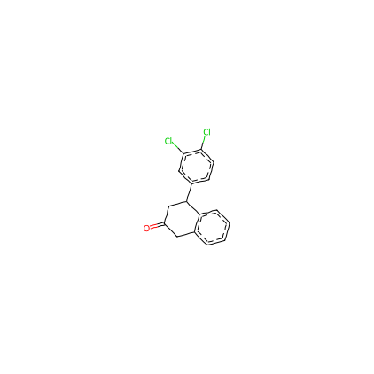 O=C1Cc2ccccc2C(c2ccc(Cl)c(Cl)c2)C1